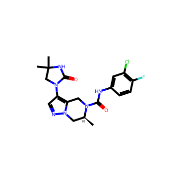 C[C@H]1Cn2ncc(N3CC(C)(C)NC3=O)c2CN1C(=O)Nc1ccc(F)c(Cl)c1